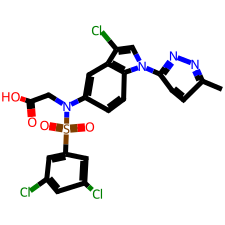 Cc1ccc(-n2cc(Cl)c3cc(N(CC(=O)O)S(=O)(=O)c4cc(Cl)cc(Cl)c4)ccc32)nn1